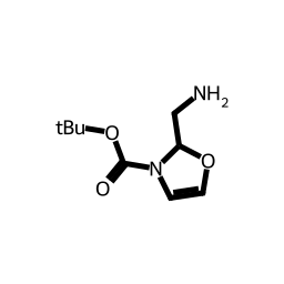 CC(C)(C)OC(=O)N1C=COC1CN